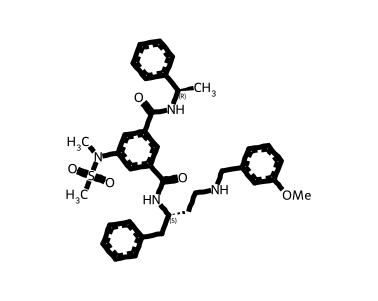 COc1cccc(CNCC[C@H](Cc2ccccc2)NC(=O)c2cc(C(=O)N[C@H](C)c3ccccc3)cc(N(C)S(C)(=O)=O)c2)c1